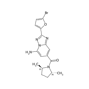 C[C@@H]1CC[C@@H](C)N1C(=O)c1cc(N)n2nc(-c3ccc(Br)o3)nc2c1